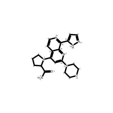 NC(=O)C1CCCN1c1cc(N2CCOCC2)nc2c(-c3ccn[nH]3)nccc12